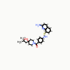 CC(C)CC1(O)CCN(C(=O)c2ccc(NSc3cccc4ccc(N)nc34)cc2)CC1